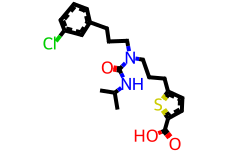 CC(C)NC(=O)N(CCCc1cccc(Cl)c1)CCCc1ccc(C(=O)O)s1